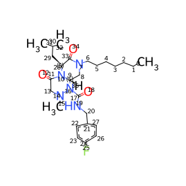 CCCCCCCN1C[C@H]2N(C(=O)CN(C)N2C(=O)NCc2ccc(F)cc2)[C@@H](CC(C)C)C1=O